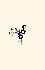 CC1CCC(C2(c3ccc(OC(F)F)cc3)N=C(N)N(C)C2=O)CC1c1cccs1